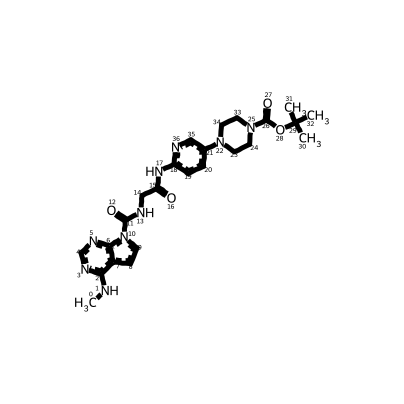 CNc1ncnc2c1ccn2C(=O)NCC(=O)Nc1ccc(N2CCN(C(=O)OC(C)(C)C)CC2)cn1